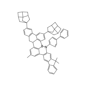 Cc1cc2c3c(c1)C1Cc4ccc(C56CC7CC8CC(C5)C87C6)cc4-c4cc(C56CC7CC8CC(C5)C87C6)cc(c41)B3N(c1ccc(-c3ccccc3)cc1)c1cc3c(cc1-2)-c1ccccc1C3(C)C